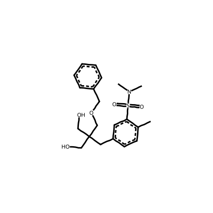 Cc1ccc(CC(CO)(CO)COCc2ccccc2)cc1S(=O)(=O)N(C)C